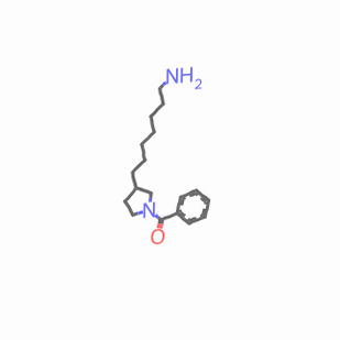 NCCCCCCCC1CCN(C(=O)c2ccccc2)C1